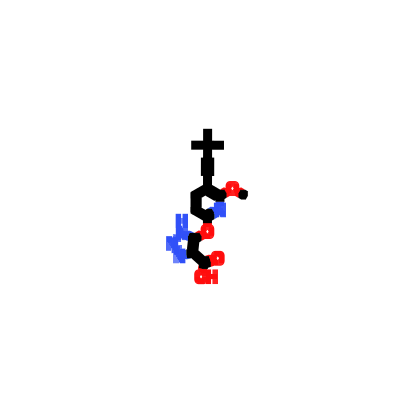 COc1nc(Oc2[nH]nnc2C(=O)O)ccc1C#CC(C)(C)C